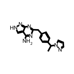 CC(c1ccc(Cc2nc(N)c3c[nH]nc3n2)cc1)n1cccn1